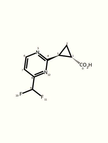 O=C(O)[C@H]1C[C@@H]1c1nccc(C(F)F)n1